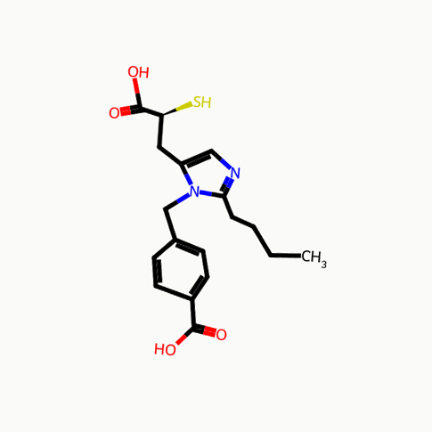 CCCCc1ncc(C[C@H](S)C(=O)O)n1Cc1ccc(C(=O)O)cc1